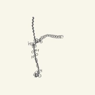 C=C=C=C=C=C=C=C=C=C=C=C=C=C=CC(=O)OCC(COP(=O)(O)OCCNC(=O)CCC(=O)NCCOCCOCCNC(=O)C(C)N1C(=O)C=CC1=O)OC(=O)CCCCCCCCCCCCCCC